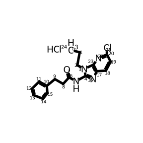 CCCn1c(NC(=O)CCc2ccccc2)nc2ccc(Cl)nc21.Cl